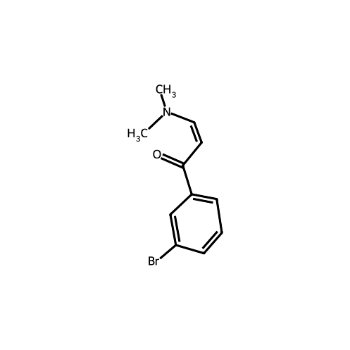 CN(C)/C=C\C(=O)c1cccc(Br)c1